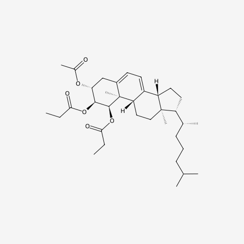 CCC(=O)O[C@H]1[C@H](OC(C)=O)CC2=CC=C3[C@@H]4CC[C@H]([C@H](C)CCCC(C)C)[C@@]4(C)CC[C@@H]3[C@@]2(C)[C@H]1OC(=O)CC